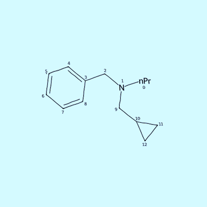 CCCN(Cc1c[c]ccc1)CC1CC1